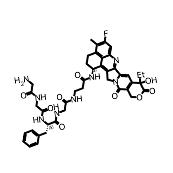 CCC1(O)C(=O)OCc2c1cc1n(c2=O)Cc2c-1nc1cc(F)c(C)c3c1c2[C@@H](NC(=O)CCNC(=O)CNC(=O)[C@H](Cc1ccccc1)NC(=O)CNC(=O)CN)CC3